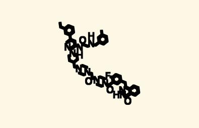 CCc1cccc(-c2cnc(N3CCC(CN4CCN(CC(=O)N5CCN(C(=O)c6cc(Cc7n[nH]c(=O)c8ccccc78)ccc6F)CC5)CC4)CC3)c(NC(=O)CNCc3cccc(C)c3)c2)c1